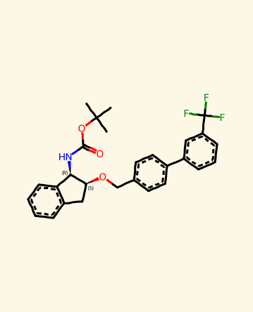 CC(C)(C)OC(=O)N[C@@H]1c2ccccc2C[C@@H]1OCc1ccc(-c2cccc(C(F)(F)F)c2)cc1